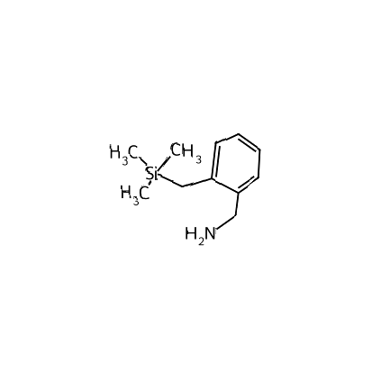 C[Si](C)(C)Cc1ccccc1CN